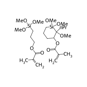 C=C(C)C(=O)OC1CCC[Si](OC)(OC)C1(CCC)OC.C=C(C)C(=O)OCCC[Si](OC)(OC)OC